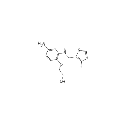 Cc1ccsc1CNc1cc(N)ccc1OCCO